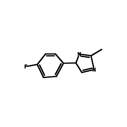 CC1=NC(c2ccc(F)cc2)C=N1